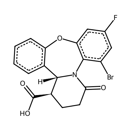 O=C(O)[C@@H]1CCC(=O)N2c3c(Br)cc(F)cc3Oc3ccccc3[C@@H]12